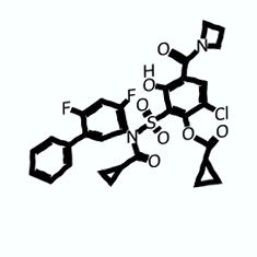 O=C(Oc1c(Cl)cc(C(=O)N2CCC2)c(O)c1S(=O)(=O)N(C(=O)C1CC1)c1cc(-c2ccccc2)c(F)cc1F)C1CC1